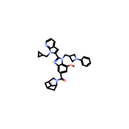 COc1cc(C(=O)N2CC3CC4CC2[C@H]43)cc2nc(-c3cc4cccnc4n3CC3CC3)n(CC3CN(c4ccccc4)C3)c12